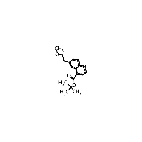 COCCc1ccc2nccc(C(=O)OC(C)(C)C)c2c1